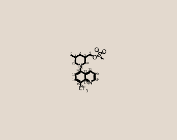 CC1CC(COS(C)(=O)=O)CN(c2ccc(C(F)(F)F)c3ncccc23)C1